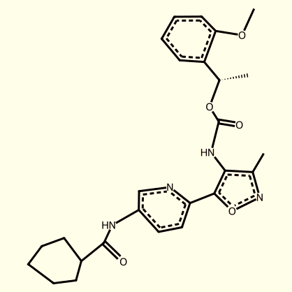 COc1ccccc1[C@H](C)OC(=O)Nc1c(C)noc1-c1ccc(NC(=O)C2CCCCC2)cn1